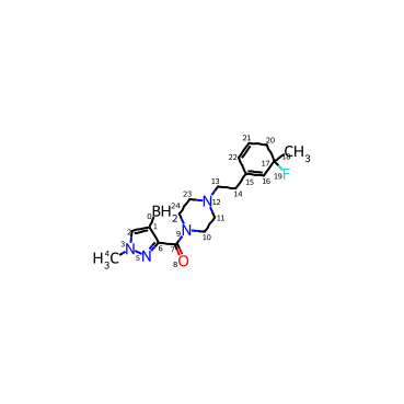 Bc1cn(C)nc1C(=O)N1CCN(CCC2=CC(C)(F)CC=C2)CC1